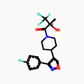 C[C@@](O)(C(=O)N1CCC(c2conc2-c2ccc(F)cc2)CC1)C(F)(F)F